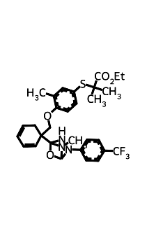 CCOC(=O)C(C)(C)Sc1ccc(OCC2(C34NN(c5ccc(C(F)(F)F)cc5)C(O3)N4C)C=CC=CC2)c(C)c1